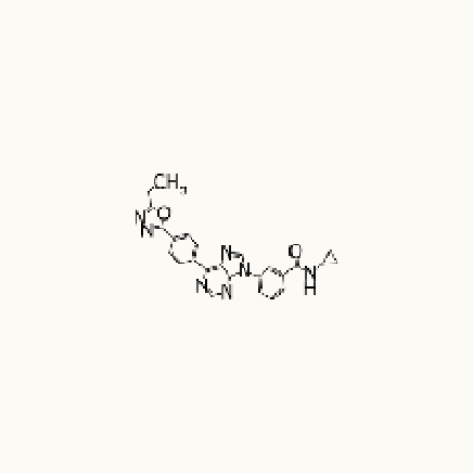 CCc1nnc(-c2ccc(-c3ncnc4c3ncn4-c3cccc(C(=O)NC4CC4)c3)cc2)o1